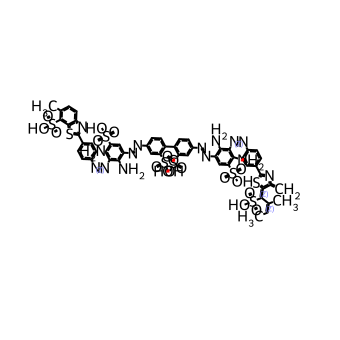 C=c1nc(-c2ccc(/N=N\c3c(N)c(N=Nc4ccc(-c5ccc(N=Nc6cc(S(=O)(=O)O)c(N)c(/N=N\c7ccc(-c8nc9ccc(C)c(S(=O)(=O)O)c9s8)cc7)c6N)cc5S(=O)(=O)O)c(S(=O)(=O)O)c4)cc(S(=O)(=O)O)c3N)cc2)s/c1=C(/C(C)=C\C)S(=O)(=O)O